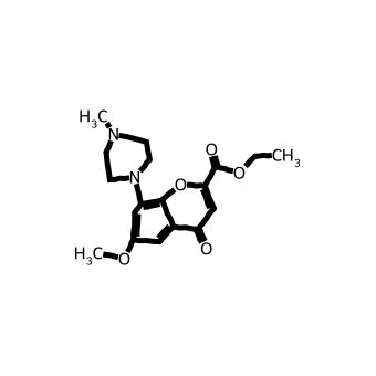 CCOC(=O)c1cc(=O)c2cc(OC)cc(N3CCN(C)CC3)c2o1